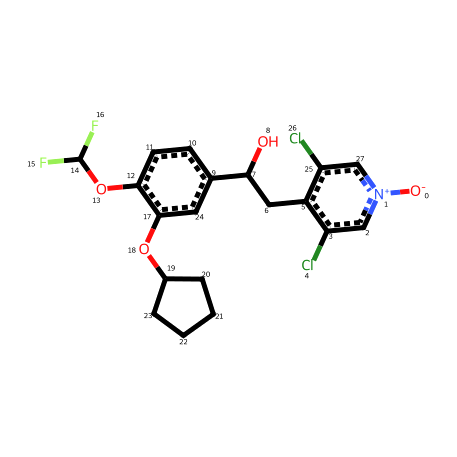 [O-][n+]1cc(Cl)c(CC(O)c2ccc(OC(F)F)c(OC3CCCC3)c2)c(Cl)c1